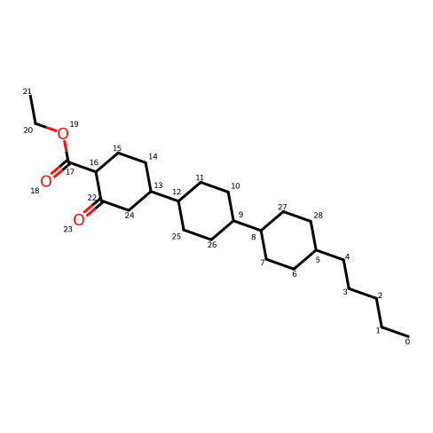 CCCCCC1CCC(C2CCC(C3CCC(C(=O)OCC)C(=O)C3)CC2)CC1